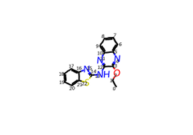 CCOc1nc2ccccc2nc1Nc1nc2ccccc2s1